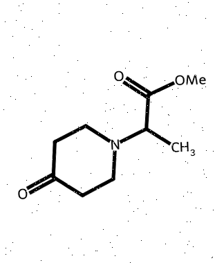 COC(=O)C(C)N1CCC(=O)CC1